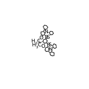 CC(C)c1c2c(cc3c1Oc1ccc4c5ccccc5n5c4c1B3Sc1ccccc1-5)B1Sc3ccccc3-n3c4ccccc4c4ccc(c1c43)O2